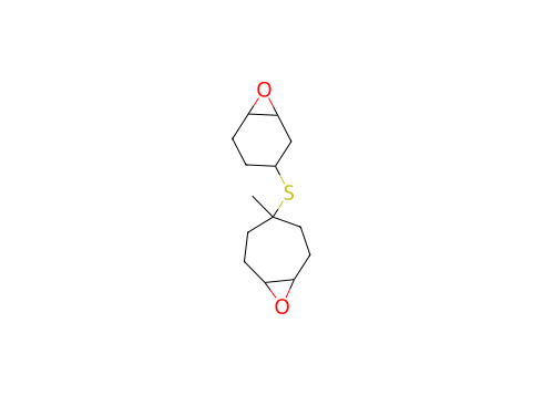 CC1(SC2CCC3OC3C2)CCC2OC2CC1